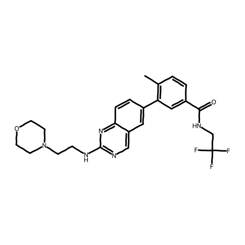 Cc1ccc(C(=O)NCC(F)(F)F)cc1-c1ccc2nc(NCCN3CCOCC3)ncc2c1